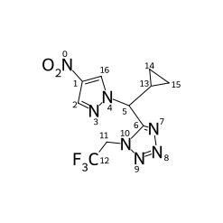 O=[N+]([O-])c1cnn(C(c2nnnn2CC(F)(F)F)C2CC2)c1